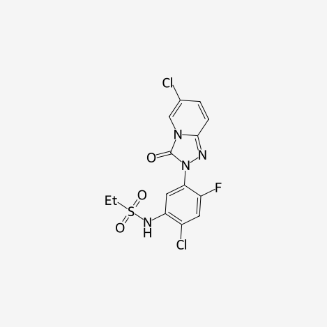 CCS(=O)(=O)Nc1cc(-n2nc3ccc(Cl)cn3c2=O)c(F)cc1Cl